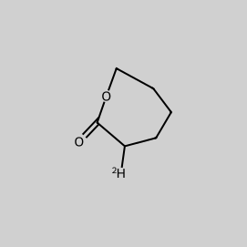 [2H]C1CCCCOC1=O